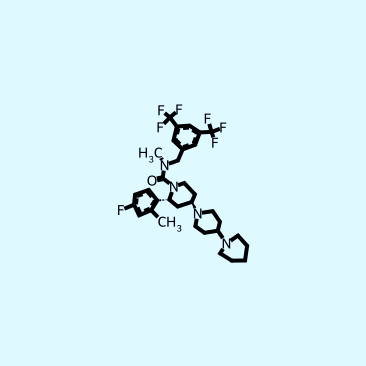 Cc1cc(F)ccc1[C@H]1C[C@H](N2CCC(N3CCCCC3)CC2)CCN1C(=O)N(C)Cc1cc(C(F)(F)F)cc(C(F)(F)F)c1